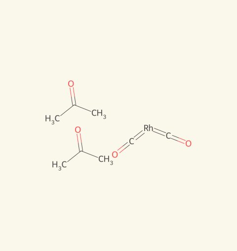 CC(C)=O.CC(C)=O.O=[C]=[Rh]=[C]=O